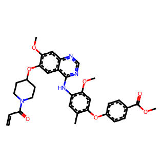 C=CC(=O)N1CCC(Oc2cc3c(Nc4cc(C)c(Oc5ccc(C(=O)OC)cc5)cc4OC)ncnc3cc2OC)CC1